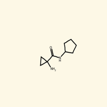 NC1(C(=O)NC2CCCC2)CC1